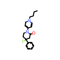 CCCCN1C=CC(N2CCC(F)(c3ccccc3)CC2=O)=CC1